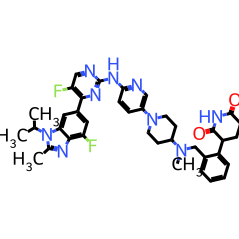 Cc1nc2c(F)cc(-c3nc(Nc4ccc(N5CCC(N(C)Cc6ccccc6C6CCC(=O)NC6=O)CC5)cn4)ncc3F)cc2n1C(C)C